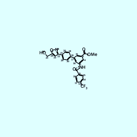 COC(=O)c1cc(NC(=O)c2ccc(C(F)(F)F)cc2)cc(-c2ccc(-c3cc(CO)on3)cc2)c1